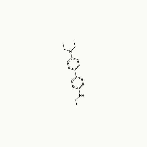 CCNc1ccc(-c2ccc(N(CC)CC)cc2)cc1